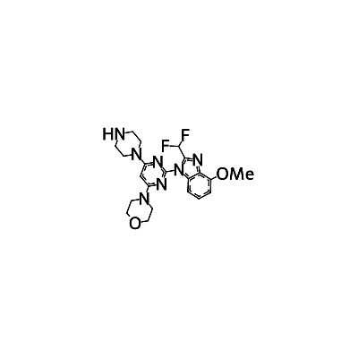 COc1cccc2c1nc(C(F)F)n2-c1nc(N2CCNCC2)cc(N2CCOCC2)n1